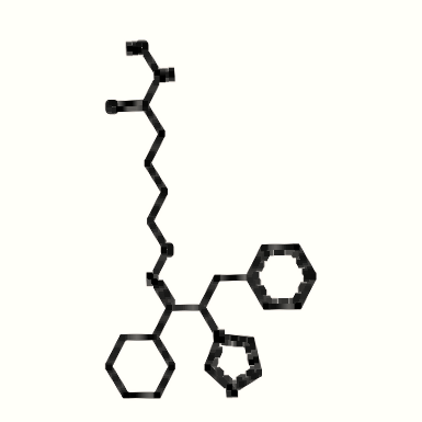 O=C(CCCCON=C(C1CCCCC1)C(Cc1ccccc1)n1ccnc1)NO